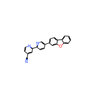 N#Cc1ccnc(-c2ccc(-c3ccc4c(c3)oc3ccccc34)cn2)c1